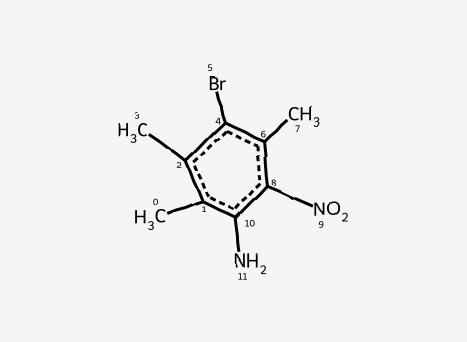 Cc1c(C)c(Br)c(C)c([N+](=O)[O-])c1N